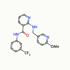 COc1ccc(CNc2ncccc2C(=O)Nc2cccc(C(F)(F)F)c2)cn1